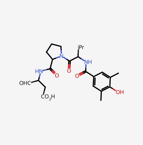 Cc1cc(C(=O)NC(C(=O)N2CCCC2C(=O)NC(C=O)CC(=O)O)C(C)C)cc(C)c1O